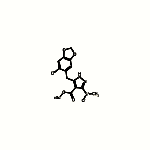 CCCCOC(=O)c1c([S+](C)[O-])n[nH]c1Cc1cc2c(cc1Cl)OCO2